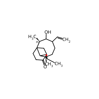 C=CC1CC[C@]2(C)C(C)CC34CC(CCC3=O)(C42)[C@@H](C)C1O